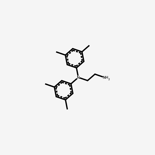 Cc1cc(C)cc(N(CCN)c2cc(C)cc(C)c2)c1